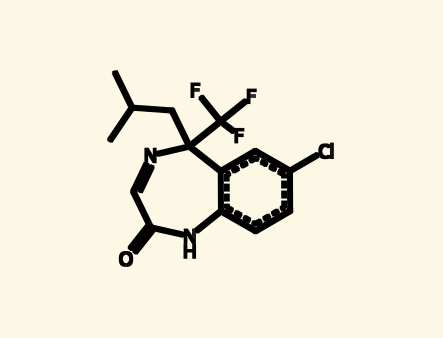 CC(C)CC1(C(F)(F)F)N=CC(=O)Nc2ccc(Cl)cc21